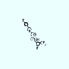 C[C@]1(C(=O)NCc2cc(F)cc(C(F)(F)F)c2)CCC(N2CCC(c3ccc(F)cc3)CC2)CO1